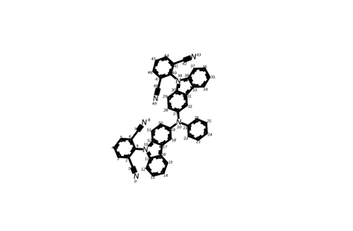 N#Cc1cccc(C#N)c1-n1c2ccccc2c2cc(N(c3ccccc3)c3ccc4c(c3)c3ccccc3n4-c3c(C#N)cccc3C#N)ccc21